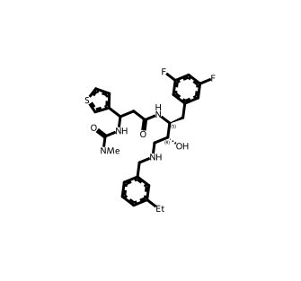 CCc1cccc(CNC[C@@H](O)[C@H](Cc2cc(F)cc(F)c2)NC(=O)CC(NC(=O)NC)c2ccsc2)c1